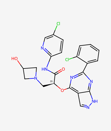 O=C(Nc1ccc(Cl)cn1)[C@H](CN1CC(O)C1)Oc1nc(-c2ccccc2Cl)nc2[nH]ncc12